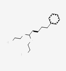 CCCOC(/C=C/CCc1ccccc1)OCCC